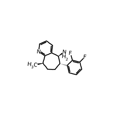 C[C@@H]1CC[C@@H](c2cccc(F)c2F)[C@H](N)c2cccnc21